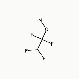 [N]OC(F)(F)C(F)F